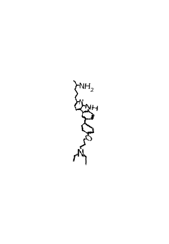 CCN(CC)CCCOc1ccc(-c2ccc3[nH]c4nc(CCCC(C)N)ccc4c3c2)cc1